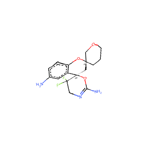 NC1=NCC(F)(F)[C@]2(C[C@@]3(CCCOC3)Oc3ccc(N)cc32)O1